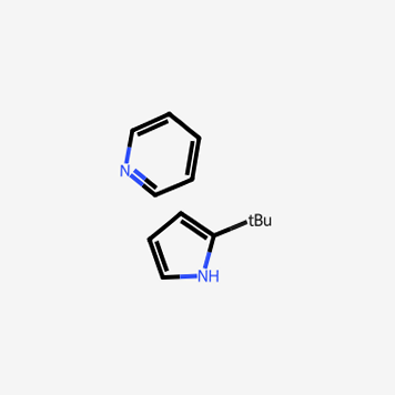 CC(C)(C)c1ccc[nH]1.c1ccncc1